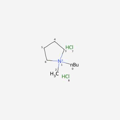 CCCC[N+]1(C)CCCC1.Cl.Cl